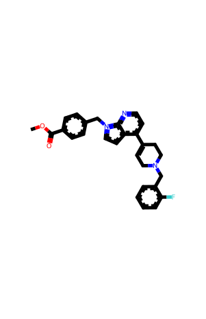 COC(=O)c1ccc(Cn2ccc3c(C4=CCN(Cc5ccccc5F)CC4)ccnc32)cc1